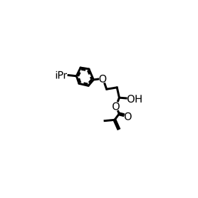 C=C(C)C(=O)OC(O)CCOc1ccc(C(C)C)cc1